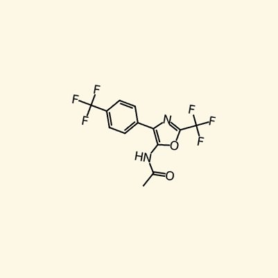 CC(=O)Nc1oc(C(F)(F)F)nc1-c1ccc(C(F)(F)F)cc1